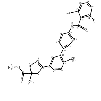 COC(=O)C1(C)CC(c2ccc(C)c(-c3cnc(NC(=O)c4c(F)cccc4F)cn3)c2)=NO1